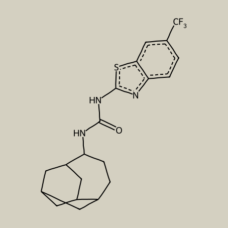 O=C(Nc1nc2ccc(C(F)(F)F)cc2s1)NC1CCC2CC3CC2CC1C3